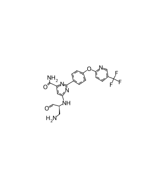 NC[C@@H](C=O)Nc1cc(C(N)=O)nc(-c2ccc(Oc3ccc(C(F)(F)F)cn3)cc2)n1